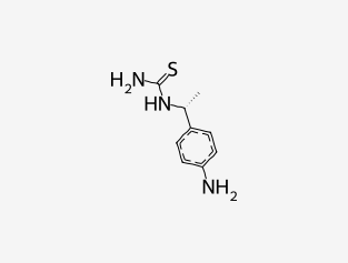 C[C@@H](NC(N)=S)c1ccc(N)cc1